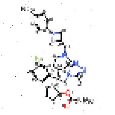 CNC(=O)O[C@H]1CCC[C@@H]1C(Cn1cnnc1C)(c1cccc(F)c1)C1CCN(CC2CN(c3ccc(C#N)cc3)C2)CC1